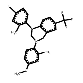 COc1ccc(N2Cc3cc(C(F)(F)F)ccc3N(c3ccc(F)cc3C)C2)c(C)n1